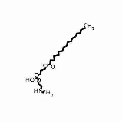 CCCCCCCCCCCCCCCCCC(=O)OCCCOP(O)OCCNC